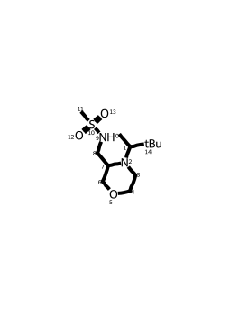 CC(N1CCOCC1CNS(C)(=O)=O)C(C)(C)C